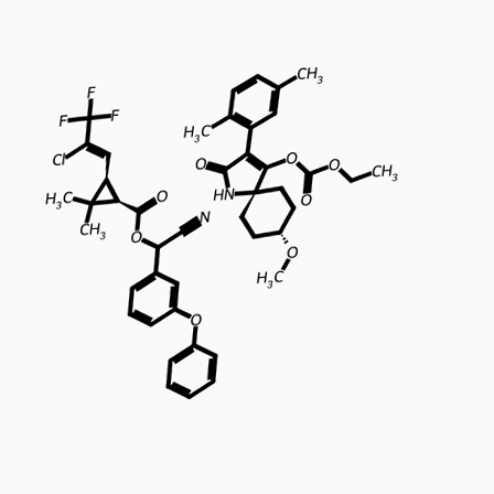 CC1(C)[C@H](C(=O)OC(C#N)c2cccc(Oc3ccccc3)c2)[C@@H]1/C=C(\Cl)C(F)(F)F.CCOC(=O)OC1=C(c2cc(C)ccc2C)C(=O)N[C@]12CC[C@@H](OC)CC2